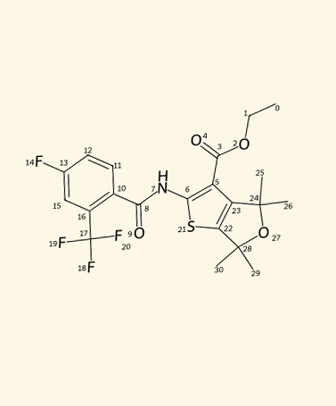 CCOC(=O)c1c(NC(=O)c2ccc(F)cc2C(F)(F)F)sc2c1C(C)(C)OC2(C)C